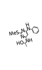 CSc1nc(Nc2ccccc2)cc(NC(C)O)n1